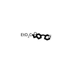 CCOC(=O)c1cc2ccc(Cc3cccnc3)cc2o1